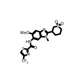 COc1cc2nc(C3CCCS(=O)(=O)C3)n(C)c2cc1NC(=O)c1nc(C(F)(F)F)cs1